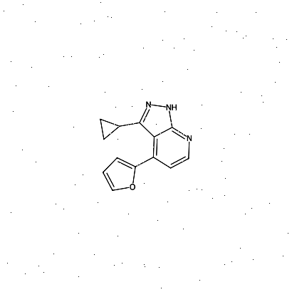 c1coc(-c2ccnc3[nH]nc(C4CC4)c23)c1